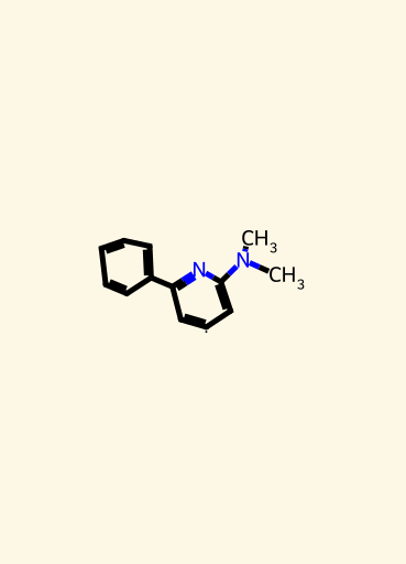 CN(C)c1c[c]cc(-c2ccccc2)n1